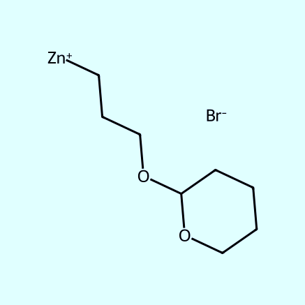 [Br-].[Zn+][CH2]CCOC1CCCCO1